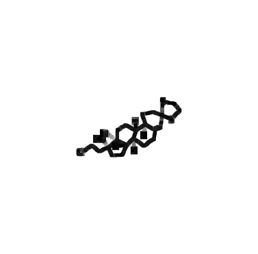 CC[C@]12CC[C@H]3[C@@H](CCC4=CC5(CC[C@@H]43)SCCS5)[C@@H]1CC[C@@]2(O)CCCl